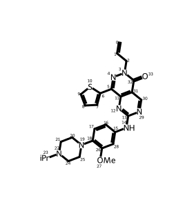 C=CCn1nc(-c2cccs2)c2nc(Nc3ccc(N4CCN(C(C)C)CC4)c(OC)c3)ncc2c1=O